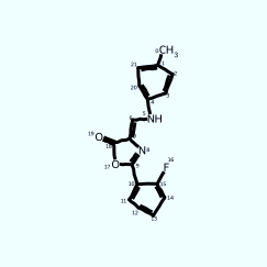 Cc1ccc(N/C=C2\N=C(c3ccccc3F)OC2=O)cc1